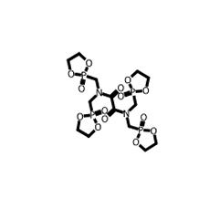 O=C(C(=O)N(CP1(=O)OCCO1)CP1(=O)OCCO1)N(CP1(=O)OCCO1)CP1(=O)OCCO1